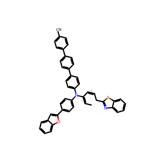 C/C=C(\C=C/Cc1nc2ccccc2s1)N(c1ccc(-c2ccc(-c3ccc(C#N)cc3)cc2)cc1)c1ccc(-c2cc3ccccc3o2)cc1